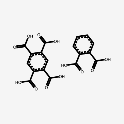 O=C(O)c1cc(C(=O)O)c(C(=O)O)cc1C(=O)O.O=C(O)c1ccccc1C(=O)O